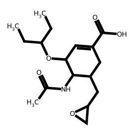 CCC(CC)OC1C=C(C(=O)O)CC(CC2CO2)C1NC(C)=O